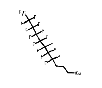 CC(C)(C)CCCC(F)(F)C(F)(F)C(F)(F)C(F)(F)C(F)(F)C(F)(F)C(F)(F)C(F)(F)F